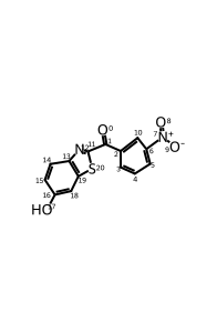 O=C(c1cccc([N+](=O)[O-])c1)c1nc2ccc(O)cc2s1